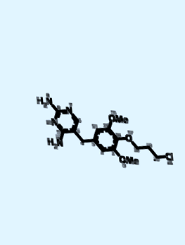 COc1cc(Cc2cnc(N)nc2N)cc(OC)c1OCCCCl